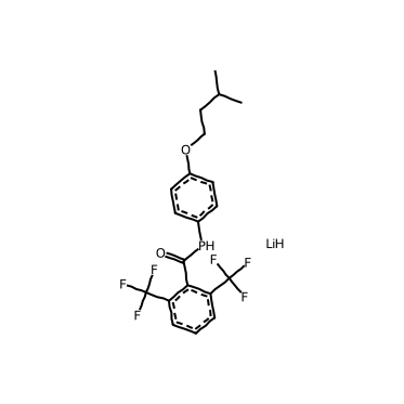 CC(C)CCOc1ccc(PC(=O)c2c(C(F)(F)F)cccc2C(F)(F)F)cc1.[LiH]